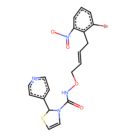 O=C(NOCC=CCc1c(Br)cccc1[N+](=O)[O-])N1[C]=CSC1c1ccncc1